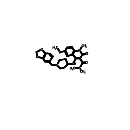 COc1ccc2c(c1)c(NC1CCN(Cc3ccc4c(c3)OCO4)CC1)c(C(=O)N(C)C)c(=O)n2C